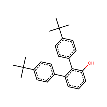 CC(C)(C)c1ccc(-c2cccc(O)c2-c2ccc(C(C)(C)C)cc2)cc1